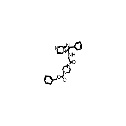 O=C(CNc1c(-c2ccccc2)nc2cnccn12)N1CCN(C(=O)OCc2ccccc2)CC1